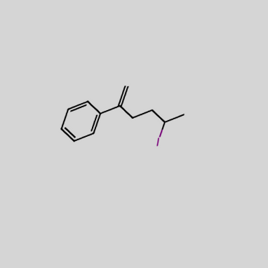 C=C(CCC(C)I)c1ccccc1